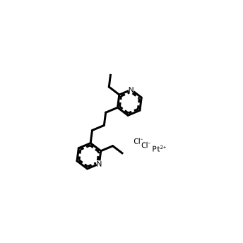 CCc1ncccc1CCCc1cccnc1CC.[Cl-].[Cl-].[Pt+2]